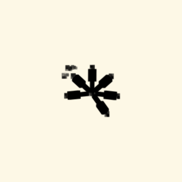 N#[C][Fe-4]([C]#N)([C]#N)([C]#N)([C]#N)[C]#N.[Fe+3].[Li+]